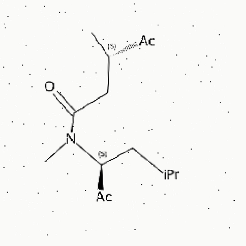 CC(=O)[C@@H](C)CC(=O)N(C)[C@@H](CC(C)C)C(C)=O